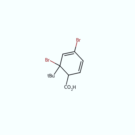 CC(C)(C)C1(Br)C=C(Br)C=CC1C(=O)O